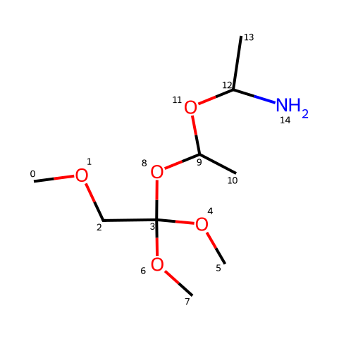 COCC(OC)(OC)OC(C)OC(C)N